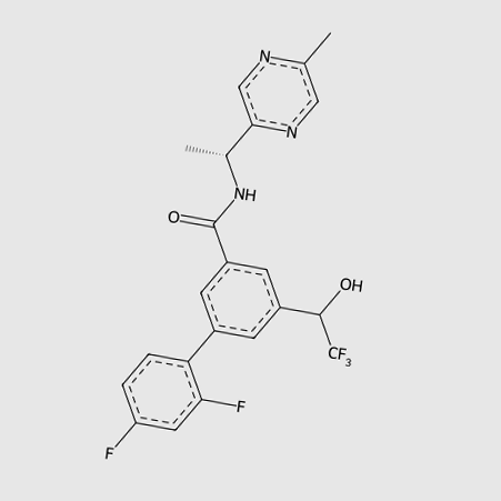 Cc1cnc([C@@H](C)NC(=O)c2cc(-c3ccc(F)cc3F)cc(C(O)C(F)(F)F)c2)cn1